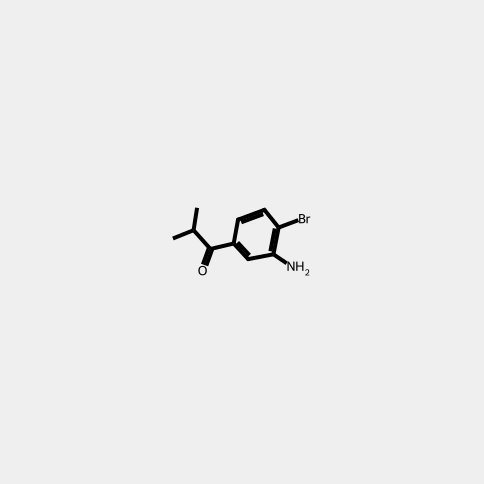 CC(C)C(=O)c1ccc(Br)c(N)c1